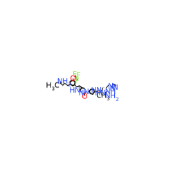 C[C@H](N)CCCc1cc(OC(F)(F)F)c(F)c(-c2cc3cn(-c4ccc([C@H](C)NCC[C@H](Cn5ccnn5)NC(=N)N)cc4)c(=O)nc3[nH]2)c1